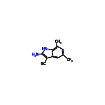 Cc1cc(C(F)(F)F)cc2c(C#N)c(N)[nH]c12